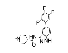 CN1CCC(C(=O)Nc2n[nH]c3ccc(-c4cc(F)c(F)cc4F)cc23)CC1